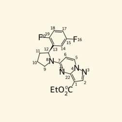 CCOC(=O)c1cnn2ccc(N3CCC[C@H]3c3cc(F)ccc3F)nc12